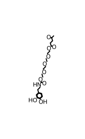 CC(=O)CCC(=O)OCCOCCOCCOCCOC(=O)NCCc1ccc(O)c(O)c1